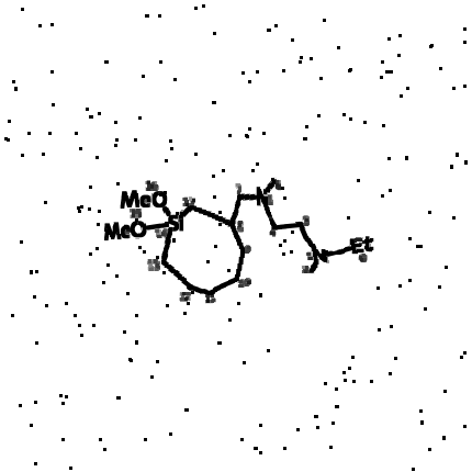 CCN(C)CCN(C)CC1CCCCC[Si](OC)(OC)C1